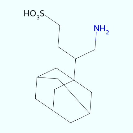 NCC(CCS(=O)(=O)O)C12CC3CC(CC(C3)C1)C2